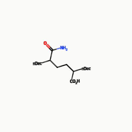 CCCCCCCCCCC(CCC(CCCCCCCCCC)C(=O)O)C(N)=O